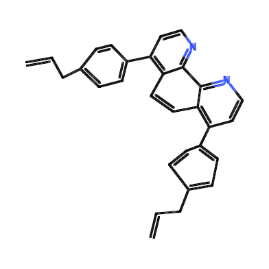 C=CCc1ccc(-c2ccnc3c2ccc2c(-c4ccc(CC=C)cc4)ccnc23)cc1